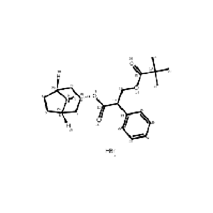 Br.CN1[C@@H]2CC[C@H]1C[C@@H](OC(=O)C(COC(=O)C(C)(C)C)c1ccccc1)C2